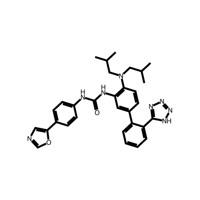 CC(C)CN(CC(C)C)c1ccc(-c2ccccc2-c2nnn[nH]2)cc1NC(=O)Nc1ccc(-c2cnco2)cc1